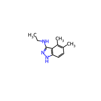 CCNc1n[nH]c2ccc(C)c(C)c12